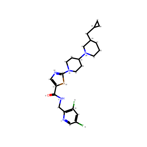 O=C(NCc1ncc(F)cc1F)c1cnc(N2CCC(N3CCCC(CC4CC4)C3)CC2)s1